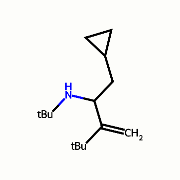 C=C(C(CC1CC1)NC(C)(C)C)C(C)(C)C